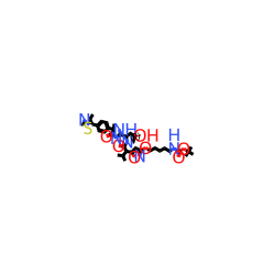 Cc1ncsc1-c1ccc(C2(C)NC(C3C[C@@H](O)CN3C(=O)C(c3cc(OCCCCCNC(=O)OC(C)(C)C)no3)C(C)C)=NC2=O)cc1